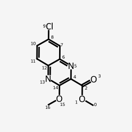 COC(=O)c1nc2cc(Cl)ccc2nc1OC